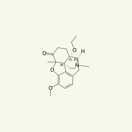 CCO[C@@]12CCC(=O)C3(C)Oc4c(OC)ccc5c4[C@@]31CCN(C)[C@@H]2C5